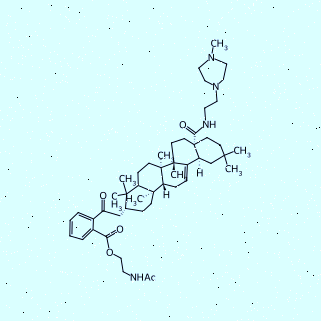 CC(=O)NCCOC(=O)c1ccccc1C(=O)C[C@H]1CC[C@@]2(C)C(CC[C@]3(C)[C@@H]2CC=C2[C@@H]4CC(C)(C)CC[C@]4(C(=O)NCCN4CCN(C)CC4)CC[C@]23C)C1(C)C